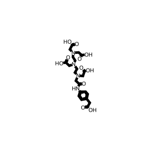 O=C(O)Cc1ccc(NC(=O)CN(CCN(CCN(CC(=O)O)CC(=O)O)CC(=O)O)CC(=O)O)cc1